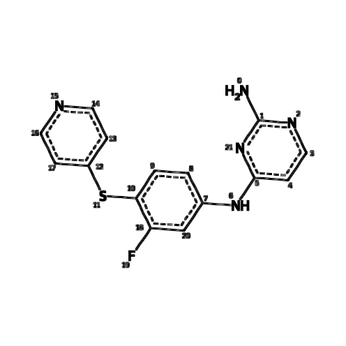 Nc1nccc(Nc2ccc(Sc3ccncc3)c(F)c2)n1